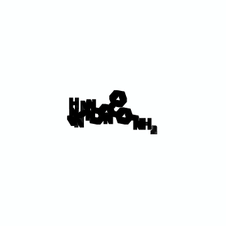 NCc1ccc(-c2nc3ccn4c(-c5ncc[nH]5)nnc4c3cc2-c2ccccc2)cc1